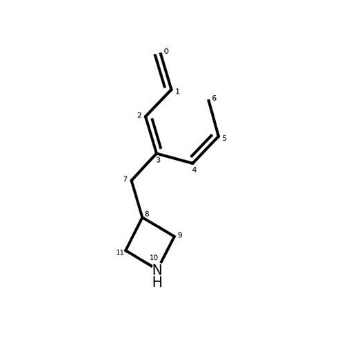 C=C/C=C(\C=C/C)CC1CNC1